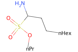 CCCCCCCCC(N)S(=O)(=O)OCCC